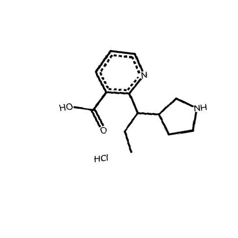 CCC(c1ncccc1C(=O)O)C1CCNC1.Cl